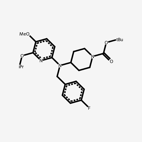 COc1ccc(N(Cc2ccc(F)cc2)C2CCN(C(=O)OC(C)(C)C)CC2)nc1OC(C)C